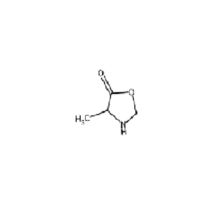 CC1NCOC1=O